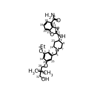 CCOc1cc(CN2CCC(Nc3nc4c(C(N)=O)[c]ccc4o3)CC2)cc(OCC(C)(C)CO)c1